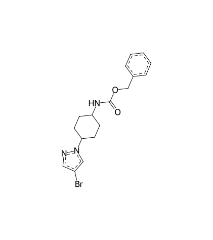 O=C(NC1CCC(n2cc(Br)cn2)CC1)OCc1ccccc1